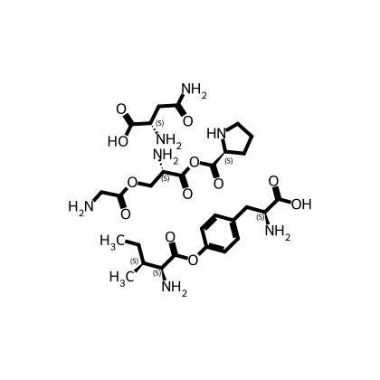 CC[C@H](C)[C@H](N)C(=O)Oc1ccc(C[C@H](N)C(=O)O)cc1.NC(=O)C[C@H](N)C(=O)O.NCC(=O)OC[C@H](N)C(=O)OC(=O)[C@@H]1CCCN1